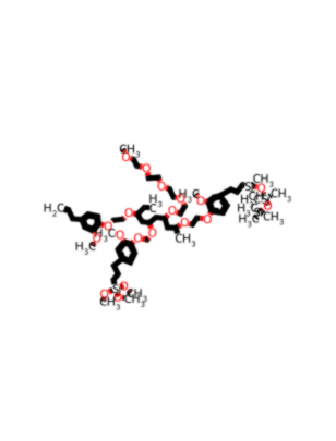 C=CCc1ccc(OCCOC(CC)CC(CC(CC(C)OCCOc2ccc(CCC[Si](C)(C)O[Si](C)(C)O[Si](C)(C)C)cc2OC)OCCOCCOCCOCCOC)OCOc2ccc(CCC[Si](OC)(OC)OC)cc2OC)c(OC)c1